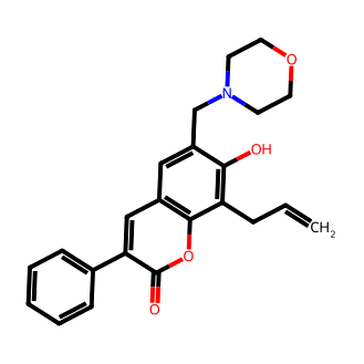 C=CCc1c(O)c(CN2CCOCC2)cc2cc(-c3ccccc3)c(=O)oc12